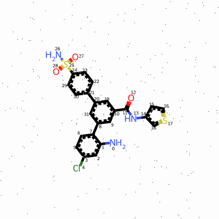 Nc1cc(Cl)ccc1-c1cc(C(=O)Nc2ccsc2)cc(-c2ccc(S(N)(=O)=O)cc2)c1